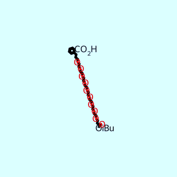 CC(C)COC(=O)CCOCCOCCOCCOCCOCCOCCOCCOCCOCCCc1ccccc1C(=O)O